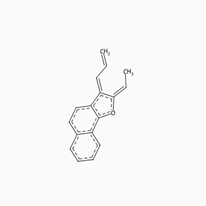 C=C/C=c1\c(=C/C)oc2c1ccc1ccccc12